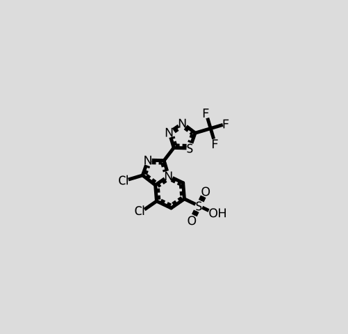 O=S(=O)(O)c1cc(Cl)c2c(Cl)nc(-c3nnc(C(F)(F)F)s3)n2c1